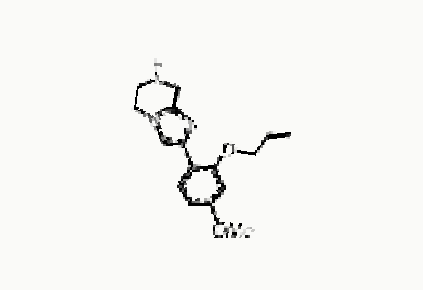 C=CCOc1cc(OC)ccc1-c1cn2c(n1)CNCC2